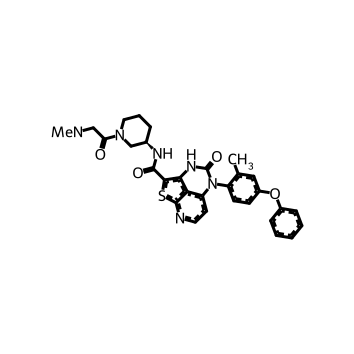 CNCC(=O)N1CCC[C@@H](NC(=O)c2sc3nccc4c3c2NC(=O)N4c2ccc(Oc3ccccc3)cc2C)C1